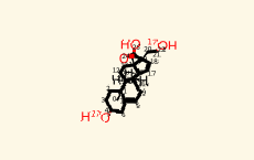 C[C@]12CC[C@H]([17OH])CC1=CC[C@@H]1[C@@H]2CC[C@@]2(C)[C@H]1C=C[C@@]2(CC[17OH])C(=O)O